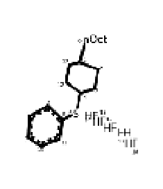 CCCCCCCCC1CCC(Sc2ccccc2)CC1.F.F.F.F.F